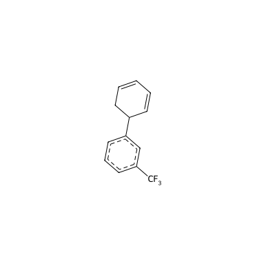 FC(F)(F)c1cccc(C2C=CC=CC2)c1